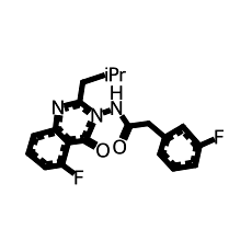 CC(C)Cc1nc2cccc(F)c2c(=O)n1NC(=O)Cc1cccc(F)c1